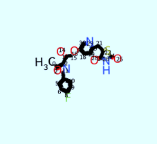 Cc1oc(-c2ccc(F)cc2)nc1C(=O)COc1ccc(CC2SC(=O)NC2=O)nc1